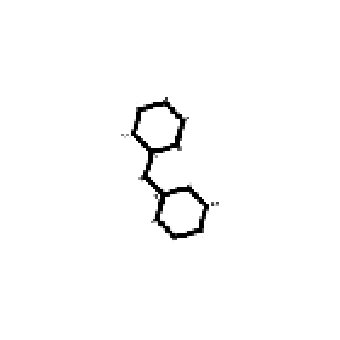 C1CC[C](CC2CCCCC2)CC1